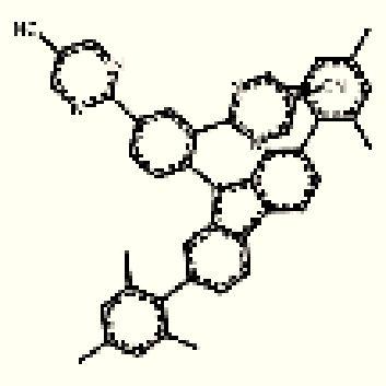 Cc1cc(C)c(-c2ccc3c4ccc(-c5c(C)cc(C)cc5C)cc4n(-c4ccc(-c5ncc(C#N)cn5)cc4-c4ncc(C#N)cn4)c3c2)c(C)c1